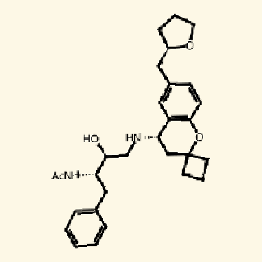 CC(=O)N[C@@H](Cc1ccccc1)[C@@H](O)CN[C@H]1CC2(CCC2)Oc2ccc(C[C@H]3CCCO3)cc21